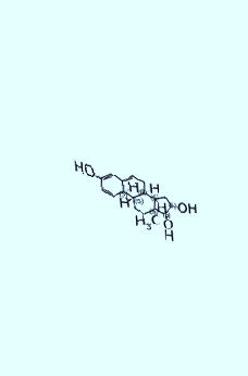 C[C@]12CC[C@H]3[C@@H](CC=C4C=C(O)C=C[C@@H]43)[C@@H]1C[C@H](O)[C@H]2O